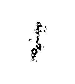 Cc1nc2cc([C@]34C[C@H]3CN(CCCSc3nnc(-c5ocnc5C)n3C)C4)ccc2s1.Cl